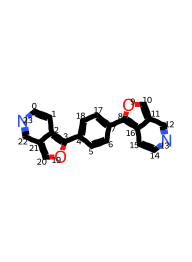 c1cc2c(-c3ccc(-c4occ5cnccc45)cc3)occ2cn1